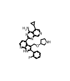 Nc1nc(-c2ccnc3[nH]c(-c4ccccc4F)c(CO[C@H]4CCNC4)c23)nc2cncc(C3CC3)c12